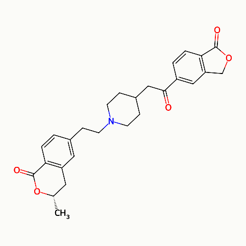 C[C@H]1Cc2cc(CCN3CCC(CC(=O)c4ccc5c(c4)COC5=O)CC3)ccc2C(=O)O1